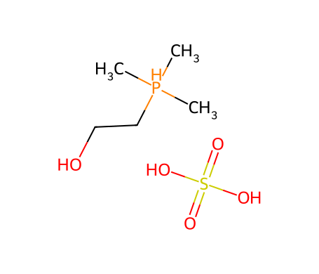 C[PH](C)(C)CCO.O=S(=O)(O)O